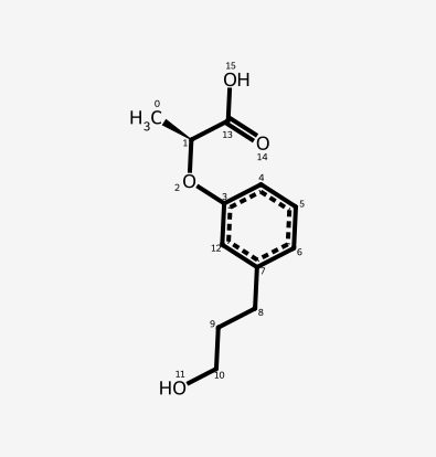 C[C@H](Oc1cccc(CCCO)c1)C(=O)O